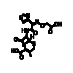 CC1=C(C(=O)O)N2C(=O)C(NC(=O)/C(=N\OCC(=O)O)c3cscn3)[C@@H]2SC1